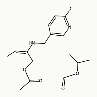 CC(C)OC=O.CC=C(COC(C)=O)NCc1ccc(Cl)nc1